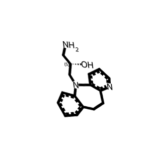 NC[C@H](O)CN1c2ccccc2CCc2ncccc21